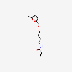 C=CC(=O)NCCCCOCc1ccc(C)o1